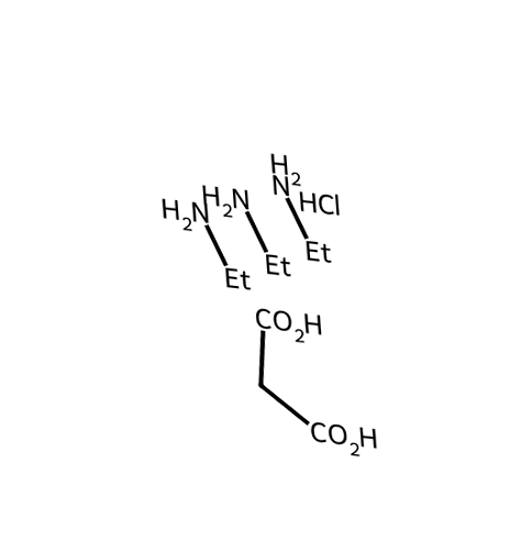 CCN.CCN.CCN.Cl.O=C(O)CC(=O)O